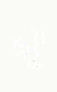 Cc1[nH]c(C(O[C@@H]2CCC[C@H]2F)c2ccc(F)c(Cl)c2)nc1S(C)(=O)=O